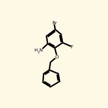 Nc1cc(Br)cc(F)c1OCc1ccccc1